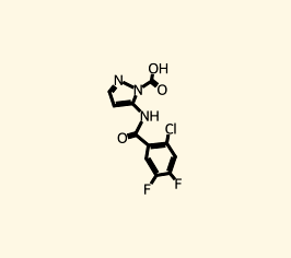 O=C(Nc1ccnn1C(=O)O)c1cc(F)c(F)cc1Cl